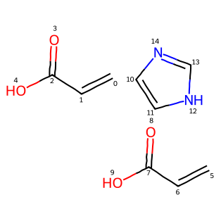 C=CC(=O)O.C=CC(=O)O.c1c[nH]cn1